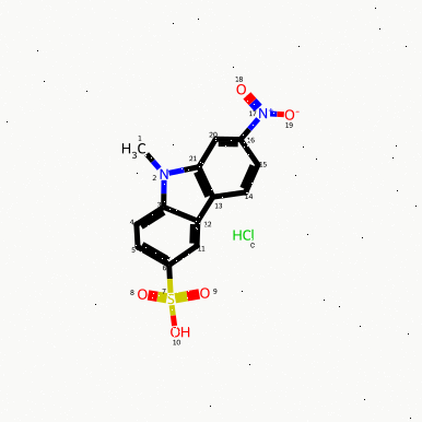 Cl.Cn1c2ccc(S(=O)(=O)O)cc2c2ccc([N+](=O)[O-])cc21